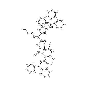 C=CCON=C(C(=O)NC1C(=O)N2C(C(=O)OC(c3ccccc3)c3ccccc3)=C(CI)C[S+]([O-])[C@@H]12)c1csc(NC(c2ccccc2)(c2ccccc2)c2ccccc2)n1